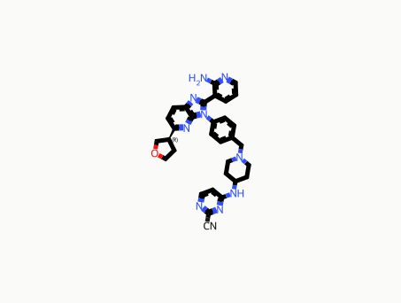 N#Cc1nccc(NC2CCN(Cc3ccc(-n4c(-c5cccnc5N)nc5ccc([C@H]6CCOC6)nc54)cc3)CC2)n1